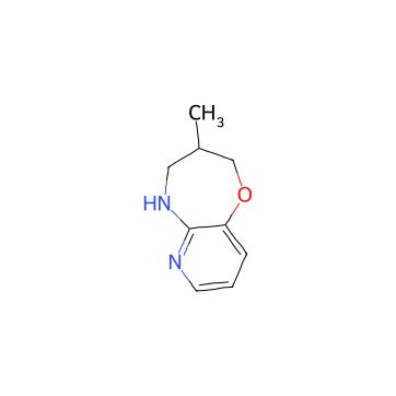 CC1CNc2ncccc2OC1